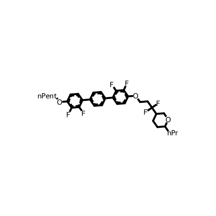 CCCCCOc1ccc(-c2ccc(-c3ccc(OCCC(F)(F)C4CCC(CCC)OC4)c(F)c3F)cc2)c(F)c1F